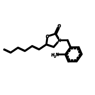 CCCCCCC1CN(Cc2ccccc2N)C(=O)O1